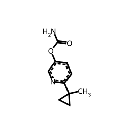 CC1(c2ccc(OC(N)=O)cn2)CC1